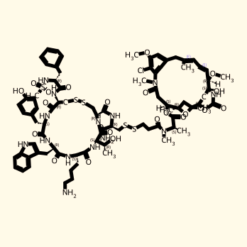 COc1cc2cc(c1Cl)N(C)C(=O)C[C@H](OC(=O)[C@H](C)N(C)C(=O)CCSSC[C@H](NC(=O)[C@@H]1CSSC[C@H](NC(=O)[C@@H](Cc3ccccc3)NS(C)(=O)=O)C(=O)N[C@@H](Cc3ccc(O)cc3)C(=O)N[C@H](Cc3c[nH]c4ccccc34)C(=O)N[C@@H](CCCCN)C(=O)N[C@@H]([C@@H](C)O)C(=O)N1)C(N)=O)[C@@]1(C)CC(C)(O1)[C@@H]1C[C@@](O)(NC(=O)O1)[C@H](OC)/C=C/C=C(\C)C2